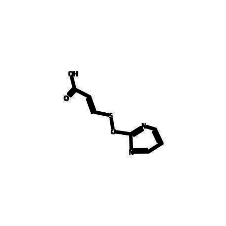 O=C(O)C=CSOc1ncccn1